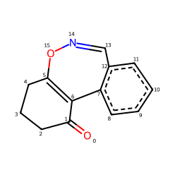 O=C1CCCC2=C1c1ccccc1C=NO2